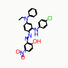 CCN(c1ccccc1)c1ccc(N=Nc2cc([N+](=O)[O-])ccc2O)c(Nc2ccc(Cl)cc2)c1